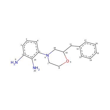 Nc1cccc(N2CCOC(Cc3ccccc3)C2)c1N